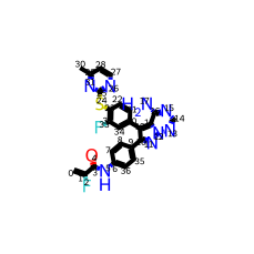 C=C(F)C(=O)Nc1ccc(-c2nn3ncnc(N)c3c2-c2ccc(Sc3nccc(C)n3)c(F)c2)cc1